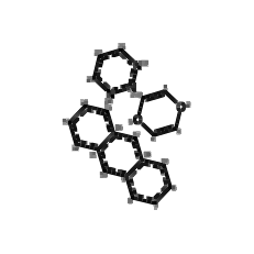 C1=COC=CO1.c1ccc2cc3ccccc3cc2c1.c1cnnnc1